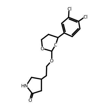 O=C1CC(CCOC2CC(c3ccc(Cl)c(Cl)c3)CCO2)CN1